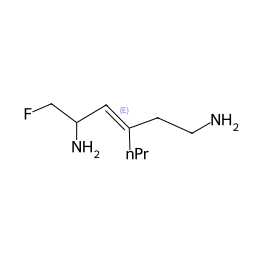 CCC/C(=C\C(N)CF)CCN